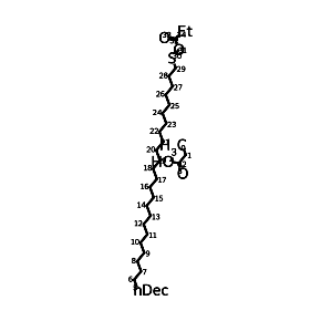 CCC(=O)O.CCCCCCCCCCCCCCCCCCCCCCCCCCCCCCCCCCSOC(=O)CC